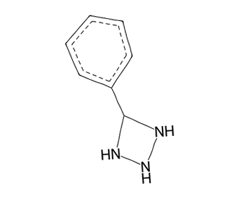 c1ccc(C2NNN2)cc1